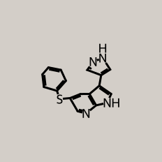 c1ccc(Sc2cnc3[nH]cc(-c4cn[nH]c4)c3c2)cc1